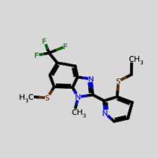 CCSc1cccnc1-c1nc2cc(C(F)(F)F)cc(SC)c2n1C